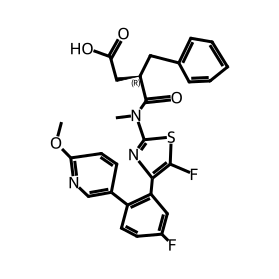 COc1ccc(-c2ccc(F)cc2-c2nc(N(C)C(=O)[C@@H](CC(=O)O)Cc3ccccc3)sc2F)cn1